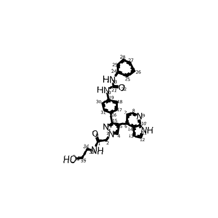 O=C(Cn1cc(-c2ccnc3[nH]ccc23)c(-c2ccc(NC(=O)Nc3ccccc3)cc2)n1)NCCO